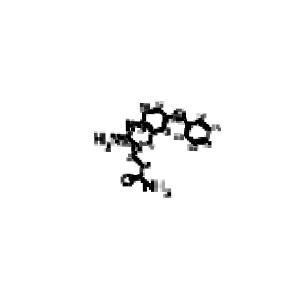 NC(=O)CCN1Cc2cc(Oc3ccccc3)ccc2N=C1N